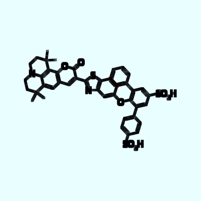 CC1(C)CCN2CCC(C)(C)c3c2c1cc1cc(-c2nc4cc(Oc5c(-c6ccccc6)cc(S(=O)(=O)O)cc5-c5ccc(S(=O)(=O)O)cc5)ccc4s2)c(=O)oc31